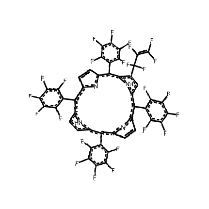 FC(F)=C(F)C(F)(F)c1cc2[nH]c1c(-c1c(F)c(F)c(F)c(F)c1F)c1nc(c(-c3c(F)c(F)c(F)c(F)c3F)c3ccc([nH]3)c(-c3c(F)c(F)c(F)c(F)c3F)c3nc(c2-c2c(F)c(F)c(F)c(F)c2F)C=C3)C=C1